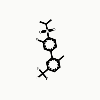 Cc1ccc(C(F)(F)F)cc1-c1ccc(S(=O)(=O)C(C)C)c(F)c1